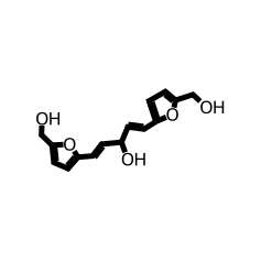 OCc1ccc(/C=C/C(O)/C=C/c2ccc(CO)o2)o1